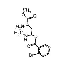 CNC(CC(N)C(=O)OC)OC(=O)c1ccccc1Br